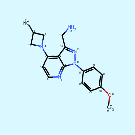 N#CC1CN(c2ccnc3c2c(CN)nn3-c2ccc(OC(F)(F)F)cc2)C1